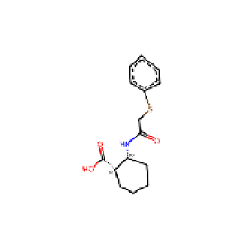 O=C(CSc1ccccc1)N[C@@H]1CCCC[C@@H]1C(=O)O